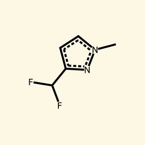 Cn1ccc(C(F)F)n1